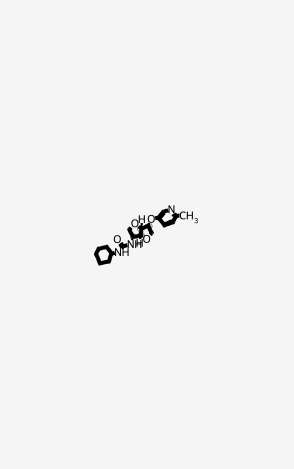 Cc1ccc(O[C@H]2CO[C@H]3[C@@H]2OC[C@@H]3NC(=O)NC2CCCCC2)cn1